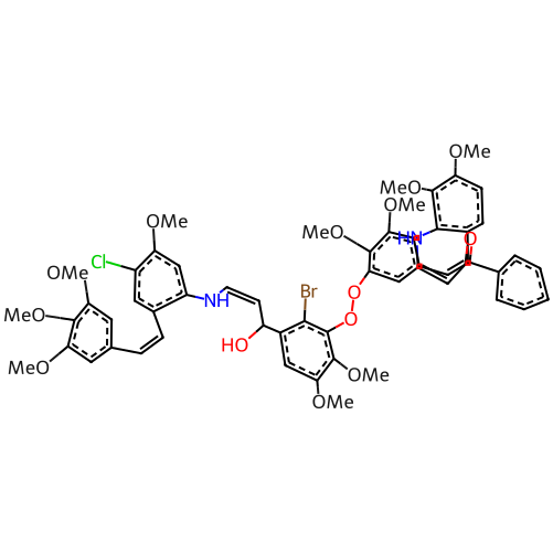 COc1cc(N/C=C\C(O)c2cc(OC)c(OC)c(OOc3cc(/C=C\c4ccc(OC)c(OC)c4N/C=C\C(=O)c4ccccc4)cc(OC)c3OC)c2Br)c(/C=C\c2cc(OC)c(OC)c(OC)c2)cc1Cl